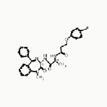 C[C@H](NC(=O)CCOc1ccc(F)cc1)C(=O)N[C@H]1N=C(c2ccccc2)c2ccccc2N(C)C1=O